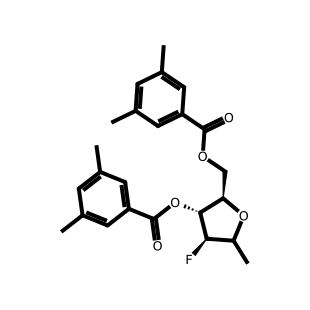 Cc1cc(C)cc(C(=O)OC[C@H]2OC(C)[C@@H](F)[C@@H]2OC(=O)c2cc(C)cc(C)c2)c1